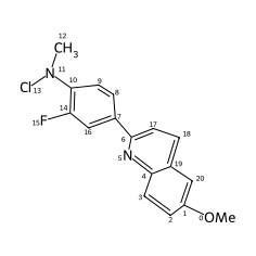 COc1ccc2nc(-c3ccc(N(C)Cl)c(F)c3)ccc2c1